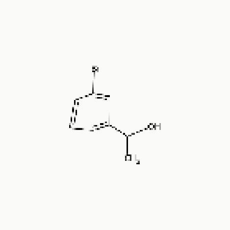 C[C](O)c1cccc(Br)c1